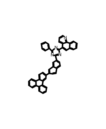 c1ccc(-c2nc(-c3ccc4ccc(-c5ccc6c7ccccc7c7ccccc7c6c5)cc4c3)nc(-c3cc4ccccc4c4ncccc34)n2)cc1